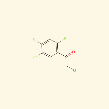 O=C(CCl)c1cc(F)c(F)cc1F